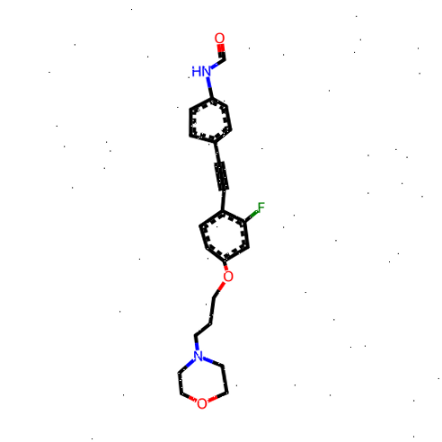 O=CNc1ccc(C#Cc2ccc(OCCCN3CCOCC3)cc2F)cc1